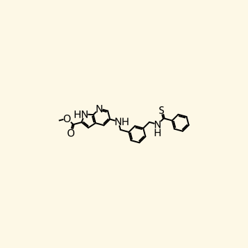 COC(=O)c1cc2cc(NCc3cccc(CNC(=S)c4ccccc4)c3)cnc2[nH]1